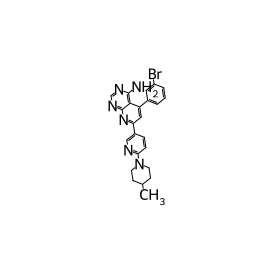 CC1CCN(c2ccc(-c3cc(-c4cccc(Br)c4)c4c(N)ncnc4n3)cn2)CC1